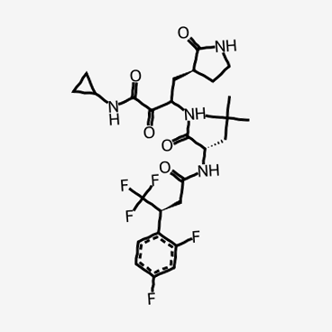 CC(C)(C)C[C@H](NC(=O)C[C@@H](c1ccc(F)cc1F)C(F)(F)F)C(=O)NC(C[C@@H]1CCNC1=O)C(=O)C(=O)NC1CC1